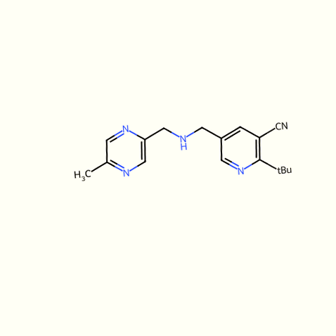 Cc1cnc(CNCc2cnc(C(C)(C)C)c(C#N)c2)cn1